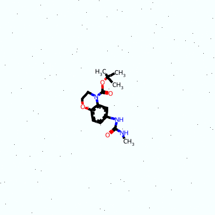 CNC(=O)Nc1ccc2c(c1)N(C(=O)OC(C)(C)C)CCO2